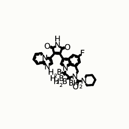 BC1(B)N(C(=O)N2CCCCC2)Cc2cc(F)cc3c(C4=C(c5cnc6ccccn56)C(=O)NC4=O)cn(c23)C1(B)B